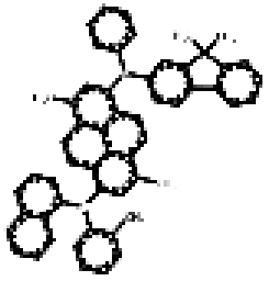 Cc1ccccc1B(c1cccc2ccccc12)c1cc(C)c2ccc3c(N(c4ccccc4)c4ccc5c(c4)C(C)(C)c4ccccc4-5)cc(C)c4ccc1c2c43